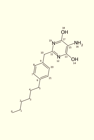 CCCCCCc1ccc(Cc2nc(O)c(N)c(O)n2)cc1